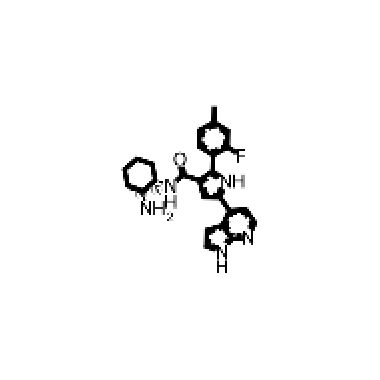 Cc1ccc(-c2[nH]c(-c3ccnc4[nH]ccc34)cc2C(=O)N[C@H]2CCCC[C@H]2N)c(F)c1